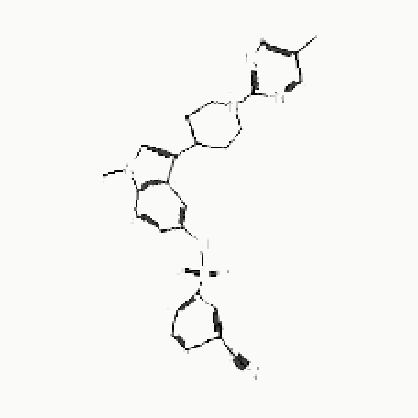 Cc1cnc(N2CCC(c3cn(C)c4ccc(NS(=O)(=O)c5cccc(C#N)c5)cc34)CC2)nc1